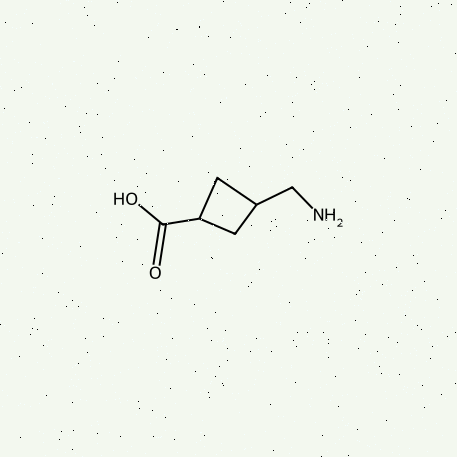 NCC1CC(C(=O)O)C1